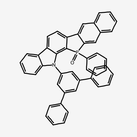 O=P1(c2ccccc2)c2cc3ccccc3cc2-c2ccc3c4ccccc4n(-c4cc(-c5ccccc5)cc(-c5ccccc5)c4)c3c21